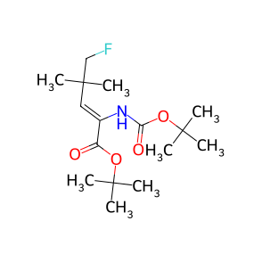 CC(C)(C=C(NC(=O)OC(C)(C)C)C(=O)OC(C)(C)C)CF